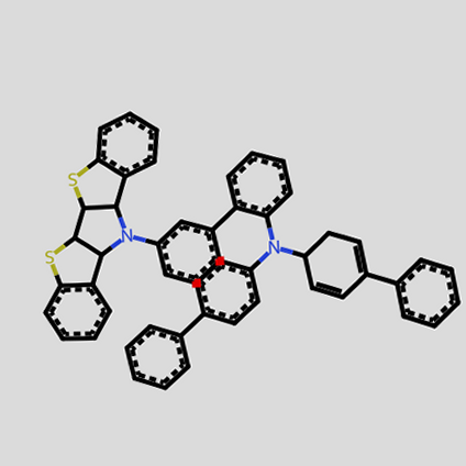 C1=CC(N(c2ccc(-c3ccccc3)cc2)c2ccccc2-c2cccc(N3C4c5ccccc5SC4C4Sc5ccccc5C43)c2)CC=C1c1ccccc1